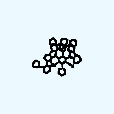 N#Cc1c(-c2ccccc2)c(C#N)c(-n2c3c(ccc4c5ccccc5sc43)c3ccc4c(sc5cccc(-c6ccccc6)c54)c32)c(-c2cc(-c3ccccc3)cc(-c3ccccc3)c2)c1-n1c2ccccc2c2ccccc21